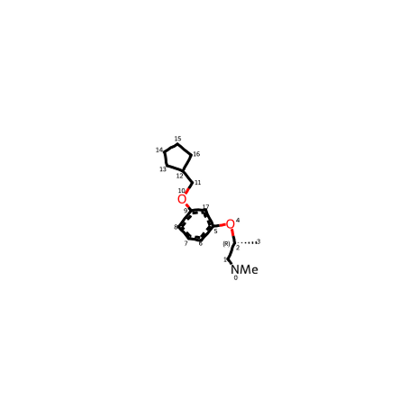 CNC[C@@H](C)Oc1cccc(OCC2CCCC2)c1